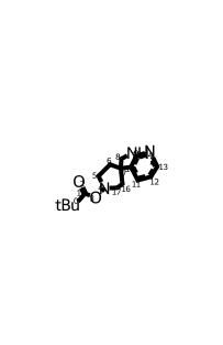 CC(C)(C)C(=O)ON1CCC(CN)(c2cccnc2)CC1